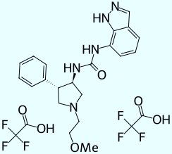 COCCN1C[C@H](NC(=O)Nc2cccc3cn[nH]c23)[C@@H](c2ccccc2)C1.O=C(O)C(F)(F)F.O=C(O)C(F)(F)F